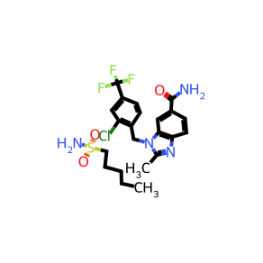 CCCCCS(N)(=O)=O.Cc1nc2ccc(C(N)=O)cc2n1Cc1ccc(C(F)(F)F)cc1Cl